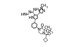 Cn1cc(-c2cc(-c3cccc(N4CCN(C(=O)C5CCC5)C(C)(C)C4=O)c3)[nH]c2/C(N)=N\C=N)cn1